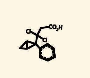 O=C(O)CC(Cl)(Cl)C1(c2ccccc2)C2CC21